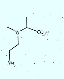 CC(C(=O)O)N(C)CCN